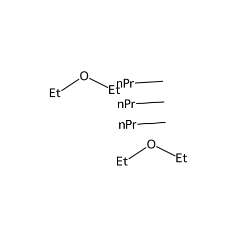 CCCC.CCCC.CCCC.CCOCC.CCOCC